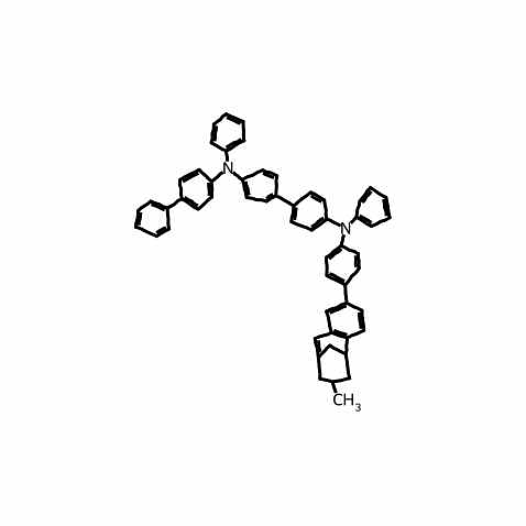 CC1CC2=Cc3cc(-c4ccc(N(c5ccccc5)c5ccc(-c6ccc(N(c7ccccc7)c7ccc(-c8ccccc8)cc7)cc6)cc5)cc4)ccc3C(C2)C1